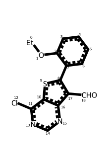 CCOc1ccccc1-c1sc2c(Cl)ncnc2c1C=O